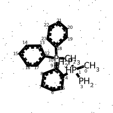 C[PH](P)(P)c1ccccc1[PH](C)(c1ccccc1)c1ccccc1